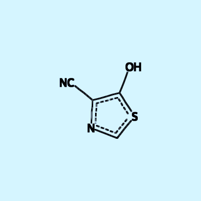 N#Cc1ncsc1O